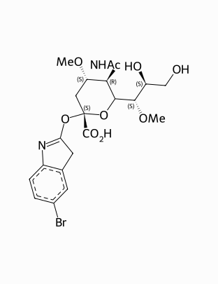 CO[C@H]1C[C@](OC2=Nc3ccc(Br)cc3C2)(C(=O)O)OC([C@@H](OC)[C@@H](O)CO)[C@@H]1NC(C)=O